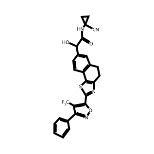 N#CC1(NC(=O)C(O)c2ccc3c(c2)CCc2nc(-c4onc(-c5ccccc5)c4C(F)(F)F)sc2-3)CC1